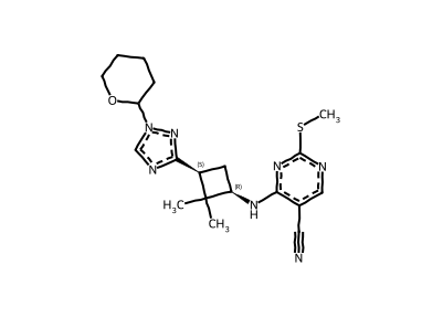 CSc1ncc(C#N)c(N[C@@H]2C[C@H](c3ncn(C4CCCCO4)n3)C2(C)C)n1